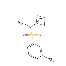 CN(C12CC(C1)C2)S(=O)(=O)c1cccc(C(F)(F)F)c1